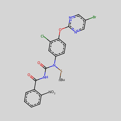 CCCCSN(C(=O)NC(=O)c1ccccc1[N+](=O)[O-])c1ccc(Oc2ncc(Br)cn2)c(Cl)c1